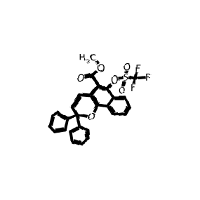 COC(=O)c1c2c(c3ccccc3c1OS(=O)(=O)C(F)(F)F)OC(c1ccccc1)(c1ccccc1)C=C2